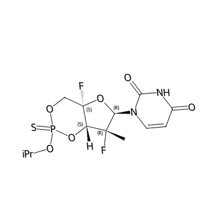 CC(C)OP1(=S)OC[C@@]2(F)O[C@@H](n3ccc(=O)[nH]c3=O)[C@](C)(F)[C@@H]2O1